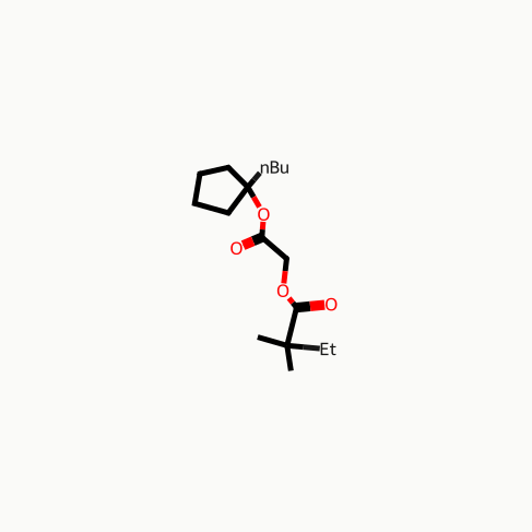 CCCCC1(OC(=O)COC(=O)C(C)(C)CC)CCCC1